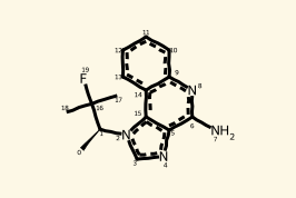 C[C@H](n1cnc2c(N)nc3ccccc3c21)C(C)(C)F